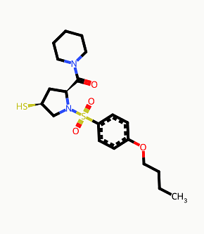 CCCCOc1ccc(S(=O)(=O)N2C[C@@H](S)C[C@H]2C(=O)N2CCCCC2)cc1